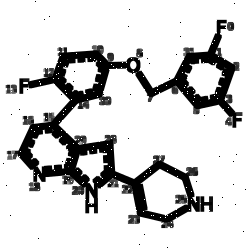 Fc1cc(F)cc(COc2ccc(F)c(-c3ccnc4[nH]c(C5=CCNCC5)cc34)c2)c1